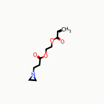 C=CC(=O)OCCOC(=O)CCN1CC1